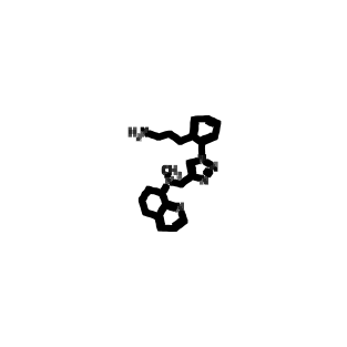 CN(Cc1cn(-c2ccccc2CCCN)nn1)C1CCCc2cccnc21